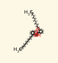 CCCCCCCCCCCCOc1ccccc1C(=O)Oc1cccc(CCCCCCCCCCCC)c1O